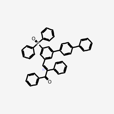 O=C(/C(=C/c1cc(-c2ccc(-c3ccccc3)cc2)cc(P(=O)(c2ccccc2)c2ccccc2)c1)c1ccccc1)c1ccccc1